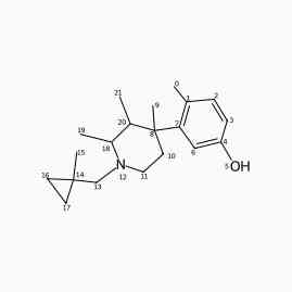 Cc1ccc(O)cc1C1(C)CCN(CC2(C)CC2)C(C)C1C